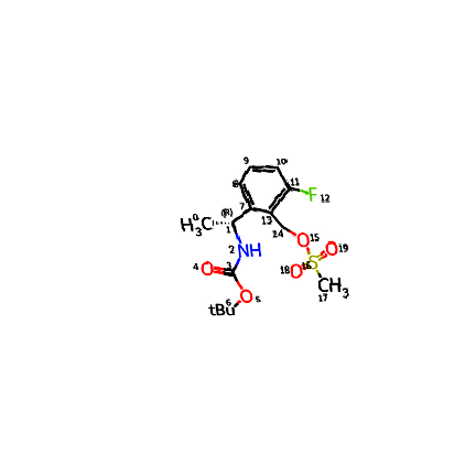 C[C@@H](NC(=O)OC(C)(C)C)c1cccc(F)c1COS(C)(=O)=O